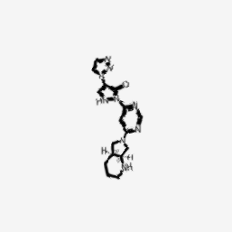 O=c1c(-n2ccnn2)c[nH]n1-c1cc(N2C[C@@H]3CCCN[C@@H]3C2)ncn1